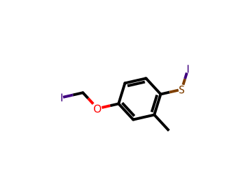 Cc1cc(OCI)ccc1SI